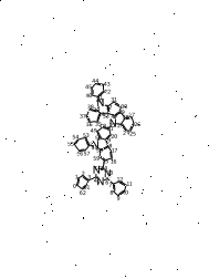 c1ccc(-c2nc(-c3ccccc3)nc(-c3ccc4c5cc(-n6c7ccccc7c7ccc8c(c9ccccc9n8-c8ccccc8)c76)ccc5n(-c5ccccc5)c4c3)n2)cc1